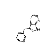 c1cnc2[nH]cc(Cc3cncnc3)c2c1